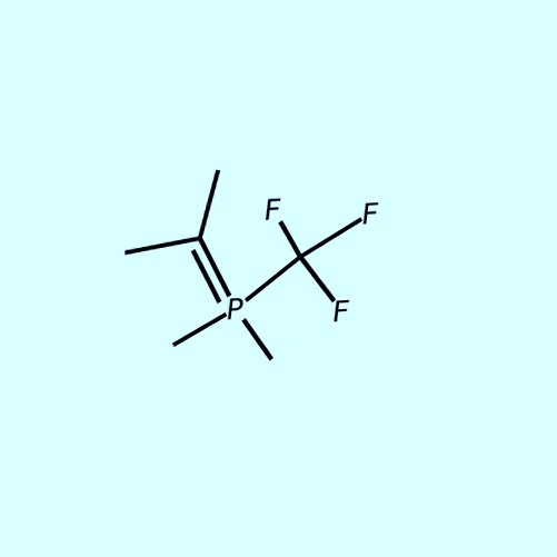 CC(C)=P(C)(C)C(F)(F)F